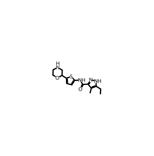 CCc1[nH]nc(C(=O)Nc2ccc(C3CNCCO3)s2)c1C